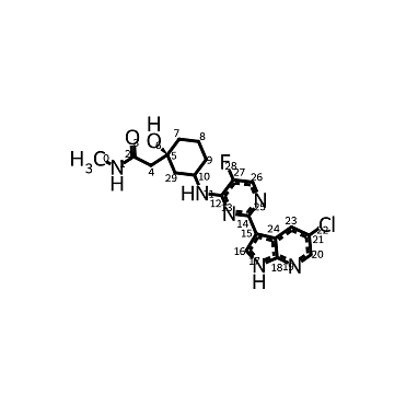 CNC(=O)C[C@]1(O)CCCC(Nc2nc(-c3c[nH]c4ncc(Cl)cc34)ncc2F)C1